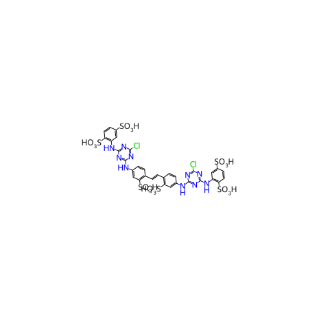 O=S(=O)(O)c1ccc(S(=O)(=O)O)c(Nc2nc(Cl)nc(Nc3ccc(/C=C/c4ccc(Nc5nc(Cl)nc(Nc6cc(S(=O)(=O)O)ccc6S(=O)(=O)O)n5)cc4S(=O)(=O)O)c(S(=O)(=O)O)c3)n2)c1